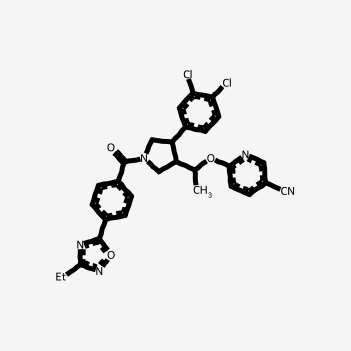 CCc1noc(-c2ccc(C(=O)N3CC(c4ccc(Cl)c(Cl)c4)C(C(C)Oc4ccc(C#N)cn4)C3)cc2)n1